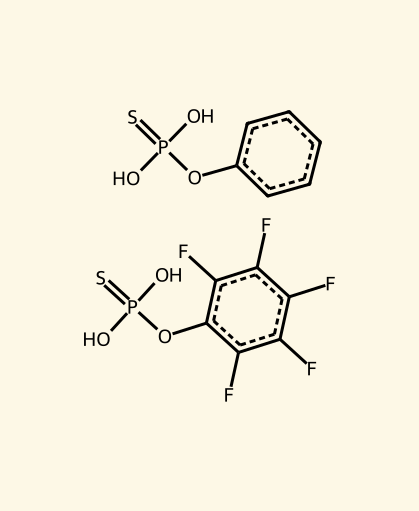 OP(O)(=S)Oc1c(F)c(F)c(F)c(F)c1F.OP(O)(=S)Oc1ccccc1